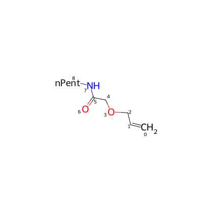 C=CCOCC(=O)NCCCCC